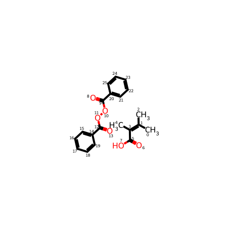 CC(C)=C(C)C(=O)O.O=C(OOC(=O)c1ccccc1)c1ccccc1